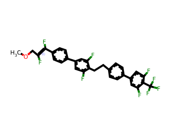 COC/C(F)=C(\F)c1ccc(-c2cc(F)c(CCc3ccc(-c4cc(F)c(C(F)(F)F)c(F)c4)cc3)c(F)c2)cc1